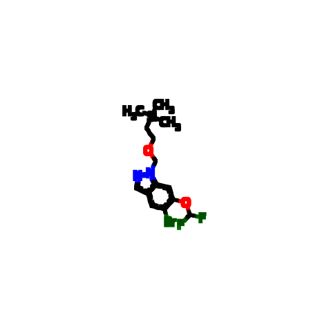 C[Si](C)(C)CCOCn1ncc2cc(Br)c(OC(F)F)cc21